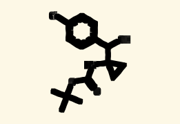 CC(C)(C)OC(=O)NC1(C(O)c2ccc(Cl)cc2)CC1